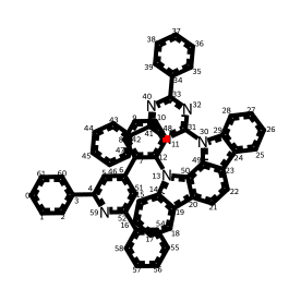 c1ccc(-c2cc(-c3ccccc3-n3c4ccccc4c4ccc5c6ccccc6n(-c6nc(-c7ccccc7)nc(-c7ccccc7)n6)c5c43)cc(-c3ccccc3)n2)cc1